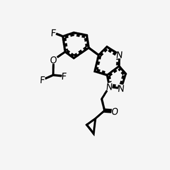 O=C(Cn1ncc2ncc(-c3ccc(F)c(OC(F)F)c3)cc21)C1CC1